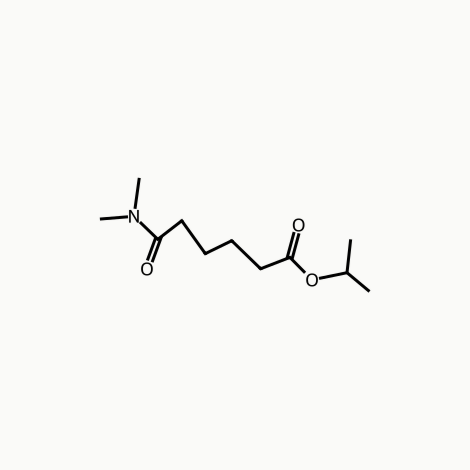 CC(C)OC(=O)CCCCC(=O)N(C)C